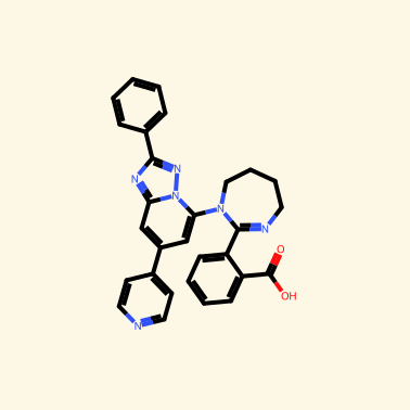 O=C(O)c1ccccc1C1=NCCCCN1c1cc(-c2ccncc2)cc2nc(-c3ccccc3)nn12